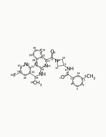 Cc1cccc(C(=O)NC2CN(C(=O)c3nc(NC(C)c4cncc(F)c4)nc4ccsc34)C2)c1